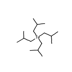 CC(C)C[Te](CC(C)C)(CC(C)C)CC(C)C